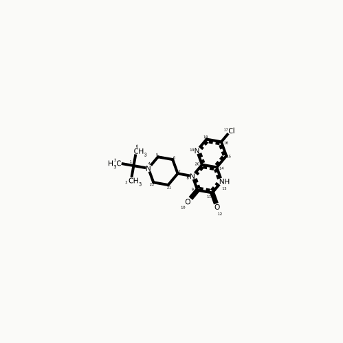 CC(C)(C)N1CCC(n2c(=O)c(=O)[nH]c3cc(Cl)cnc32)CC1